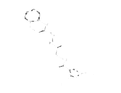 Cn1cc(C(=O)NCC(=O)NNC(=O)Nc2ccccc2C#N)c(C(F)(F)F)n1